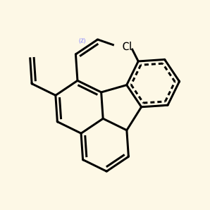 C=CC1=CC2=CC=CC3c4cccc(Cl)c4C(=C1/C=C\C)C23